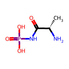 C[C@H](N)C(=O)NP(=O)(O)O